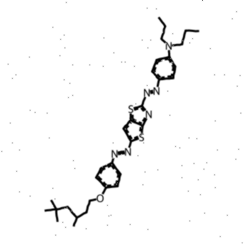 CCCN(CCC)c1ccc(/N=N/c2nc3sc(/N=N/c4ccc(OCCC(C)CC(C)(C)C)cc4)cc3s2)cc1